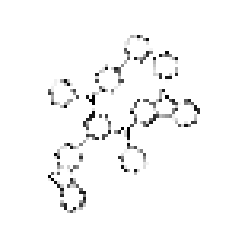 c1ccc(-c2ccc(N(c3ccccc3)c3cc(-c4ccc5sc6ccccc6c5c4)cc(N(c4ccccc4)c4ccc5c(c4)c4ccccc4n5-c4ccccc4)c3)cc2)cc1